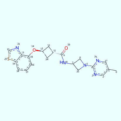 Cc1cnc(N2CC(NC(=O)[C@H]3C[C@H](Oc4cccc5scnc45)C3)C2)nc1